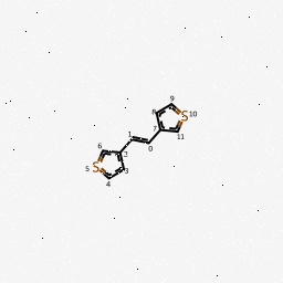 C(=Cc1ccsc1)c1ccsc1